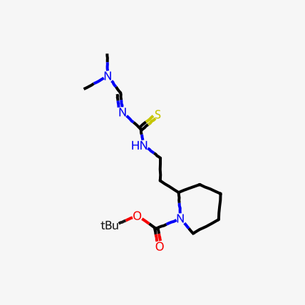 CN(C)C=NC(=S)NCCC1CCCCN1C(=O)OC(C)(C)C